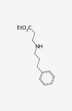 CCOC(=O)CCNCCCc1ccccc1